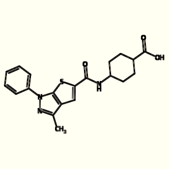 Cc1nn(-c2ccccc2)c2sc(C(=O)NC3CCC(C(=O)O)CC3)cc12